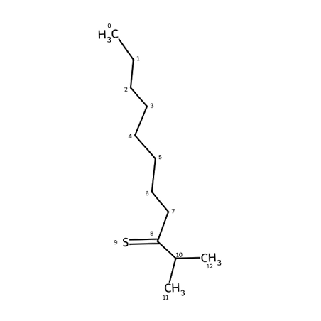 CCCCCCCCC(=S)C(C)C